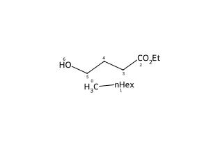 CCCCCCC.CCOC(=O)CCCO